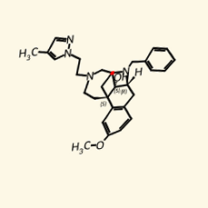 COc1ccc2c(c1)[C@@]13CCN(CCn4cc(C)cn4)CC[C@@]1(O)[C@@H](C2)N(Cc1ccccc1)CC3